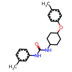 Cc1ccc(OC2CCC(NC(=O)Nc3cccc(C)c3)CC2)cc1